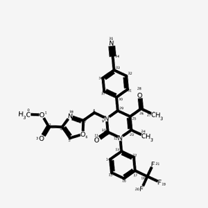 COC(=O)c1coc(CN2C(=O)N(c3cccc(C(F)(F)F)c3)C(C)=C(C(C)=O)C2c2ccc(C#N)cc2)n1